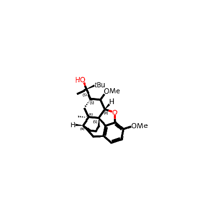 COc1ccc2c3c1O[C@H]1C(OC)[C@@H]([C@](C)(O)C(C)(C)C)C[C@]4(C)[C@H](CCC[C@]314)C2